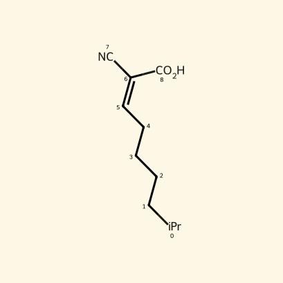 CC(C)CCCCC=C(C#N)C(=O)O